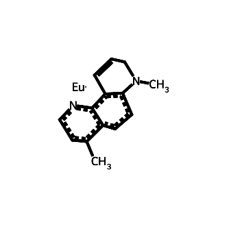 Cc1ccnc2c3c(ccc12)N(C)CC=C3.[Eu]